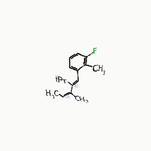 C/C=C(C)\C(=C\c1cccc(F)c1C)C(C)C